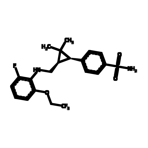 CC1(C)[C@H](CNc2c(F)cccc2OCC(F)(F)F)[C@H]1c1ccc(S(N)(=O)=O)cc1